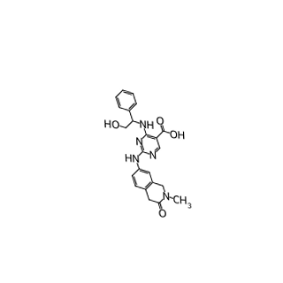 CN1Cc2cc(Nc3ncc(C(=O)O)c(NC(CO)c4ccccc4)n3)ccc2CC1=O